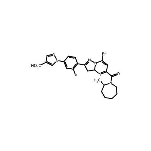 CCC1=CC(C(=O)N2CCCCC[C@H]2C)=NC2CC(c3ccc(-n4cc(C(=O)O)cn4)cc3F)=NN12